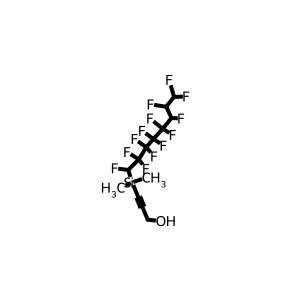 C[Si](C)(C#CCO)C(F)C(F)(F)C(F)(F)C(F)(F)C(F)(F)C(F)C(F)C(F)F